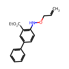 C=CCONc1ccc(-c2ccccc2)cc1C(=O)OCC